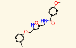 COc1ccc(C(=O)NCc2cc(COc3cccc(C)c3)no2)cc1